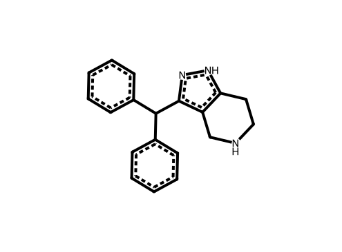 c1ccc(C(c2ccccc2)c2n[nH]c3c2CNCC3)cc1